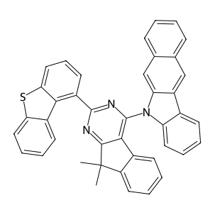 CC1(C)c2ccccc2-c2c(-n3c4ccccc4c4cc5ccccc5cc43)nc(-c3cccc4sc5ccccc5c34)nc21